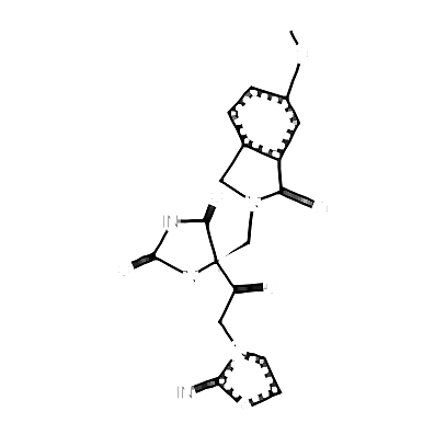 COc1ccc2c(c1)C(=O)N(C[C@@]1(C(=O)Cn3ccsc3=N)NC(=O)NC1=O)C2